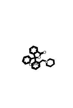 COc1ccccc1C1(c2ccccc2CN2CCCCC2)OC(=O)c2ccccc21